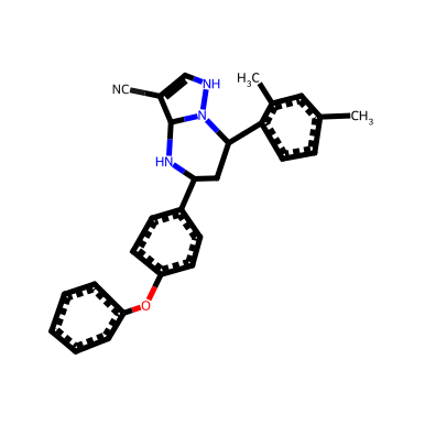 Cc1ccc(C2CC(c3ccc(Oc4ccccc4)cc3)NC3C(C#N)=CNN32)c(C)c1